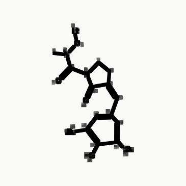 CCON(C)C(=O)N1CC/C(=C/c2cc(C(C)(C)C)c(O)c(C(C)(C)C)c2)C1=O